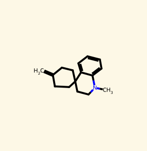 C=C1CCC2(CC1)CCN(C)c1ccccc12